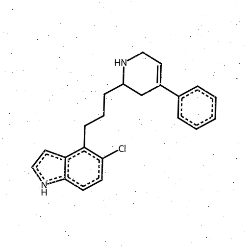 Clc1ccc2[nH]ccc2c1CCCC1CC(c2ccccc2)=CCN1